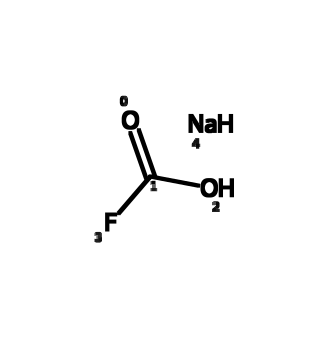 O=C(O)F.[NaH]